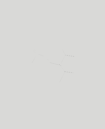 CC(C)N(CO[P](=O)Cl)C(C)C